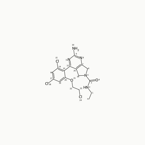 CCNC(=O)N1Cc2nc(N)nc(-c3c(Cl)cc(Cl)cc3OCCCl)c2C1